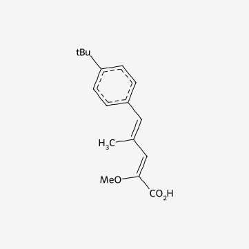 CO/C(=C\C(C)=C\c1ccc(C(C)(C)C)cc1)C(=O)O